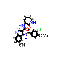 COc1ccc(CNc2c(C(=O)NC3CCCCNC3=O)cnc3ccc(C#N)cc23)cc1Cl